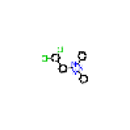 Clc1cc(Cl)cc(-c2cccc(-c3nc(-c4ccccc4)nc(-c4ccccc4)n3)c2)c1